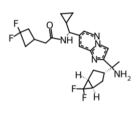 CC(N)(c1cn2ncc([C@H](NC(=O)CC3CC(F)(F)C3)C3CC3)cc2n1)[C@@H]1C[C@@H]2[C@H](C1)C2(F)F